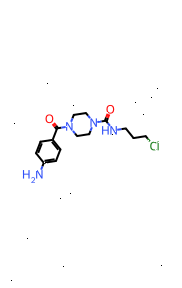 Nc1ccc(C(=O)N2CCN(C(=O)NCCCCl)CC2)cc1